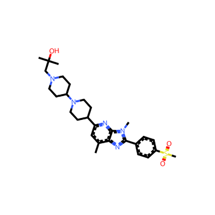 Cc1cc(C2CCN(C3CCN(CC(C)(C)O)CC3)CC2)nc2c1nc(-c1ccc(S(C)(=O)=O)cc1)n2C